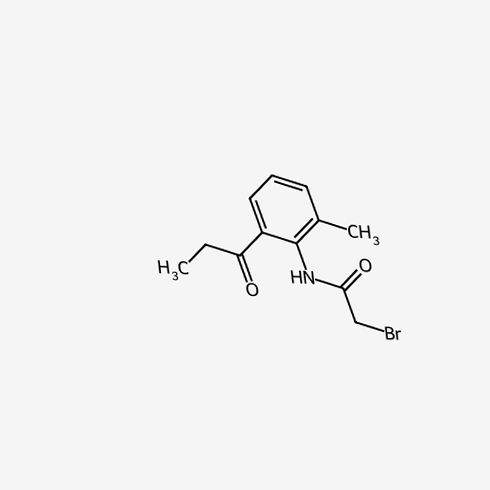 CCC(=O)c1cccc(C)c1NC(=O)CBr